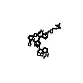 C[Si](C)(C)CCOCn1ccc2c(-c3cn(C(CC(=O)O)C4CCCC4)nc3N3C(=O)CCC3=O)ncnc21